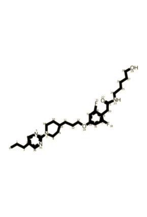 CCCc1cnc(N2CCC(CCCOc3cc(F)c(CC(=O)NCCCCCO)c(F)c3)CC2)nc1